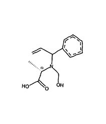 C=CC(c1ccccc1)N(CO)[C@@H](C)C(=O)O